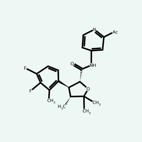 CC(=O)c1cc(NC(=O)[C@@H]2OC(C)(C)[C@H](C)[C@H]2c2ccc(F)c(F)c2C)ccn1